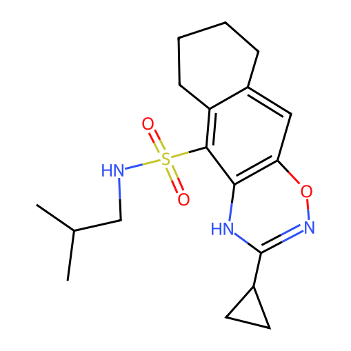 CC(C)CNS(=O)(=O)c1c2c(cc3c1NC(C1CC1)=NO3)CCCC2